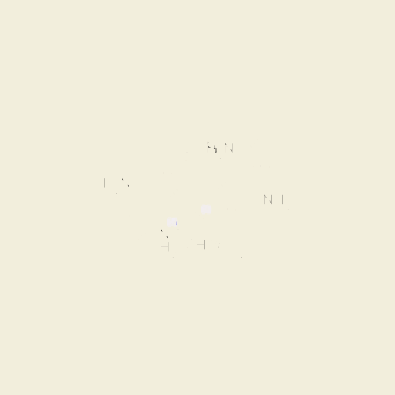 C=C/C=C(\C=C/C)C(c1ccccc1)(c1ccc(N)c(-c2ccccc2N)c1)c1ccc(N)c(-c2ccccc2N)c1